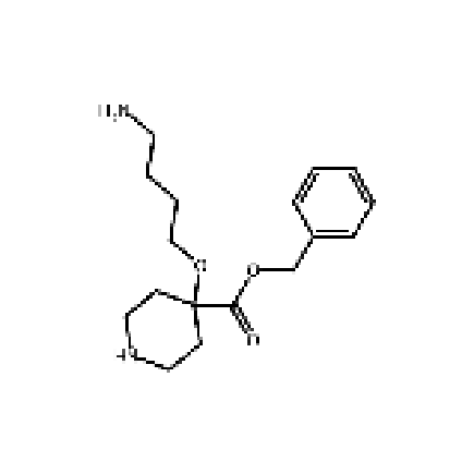 NCCCCOC1(C(=O)OCc2ccccc2)CCNCC1